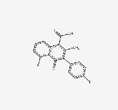 Cc1c(C(=O)O)c2cccc(F)c2c(=O)n1-c1ccc(F)cc1